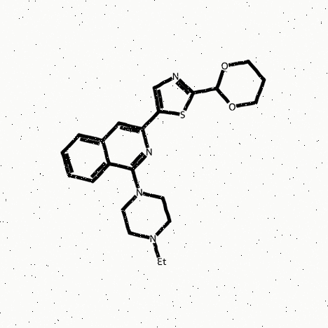 CCN1CCN(c2nc(-c3cnc(C4OCCCO4)s3)cc3ccccc23)CC1